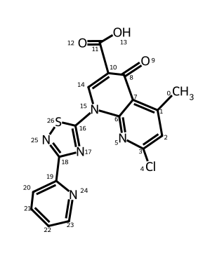 Cc1cc(Cl)nc2c1c(=O)c(C(=O)O)cn2-c1nc(-c2ccccn2)ns1